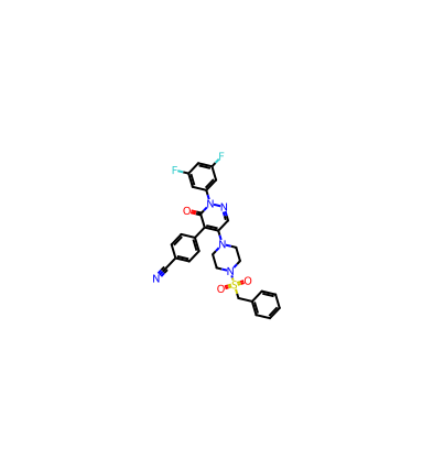 N#Cc1ccc(-c2c(N3CCN(S(=O)(=O)Cc4ccccc4)CC3)cnn(-c3cc(F)cc(F)c3)c2=O)cc1